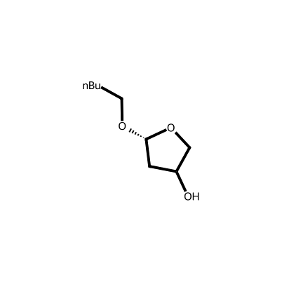 CCCCCO[C@H]1CC(O)CO1